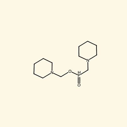 O=[PH](CN1CCCCC1)OCN1CCCCC1